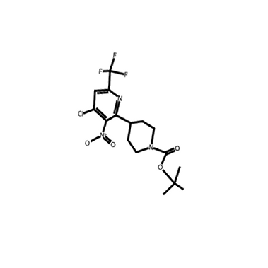 CC(C)(C)OC(=O)N1CCC(c2nc(C(F)(F)F)cc(Cl)c2[N+](=O)[O-])CC1